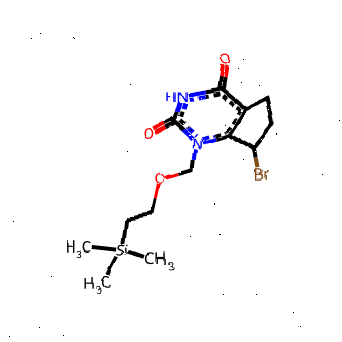 C[Si](C)(C)CCOCn1c2c(c(=O)[nH]c1=O)CCC2Br